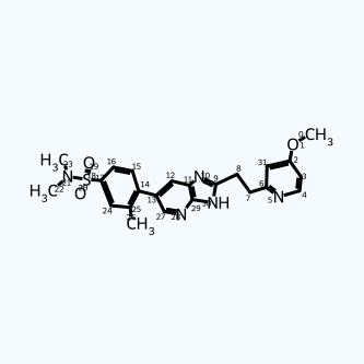 COc1ccnc(CCc2nc3cc(-c4ccc(S(=O)(=O)N(C)C)cc4C)cnc3[nH]2)c1